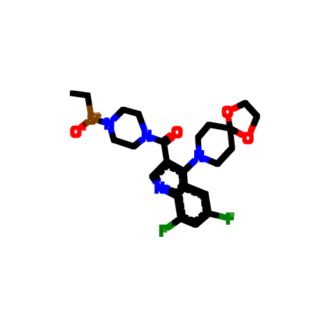 CC[S+]([O-])N1CCN(C(=O)c2cnc3c(F)cc(F)cc3c2N2CCC3(CC2)OCCO3)CC1